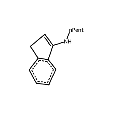 CCCCCNC1=CCc2ccccc21